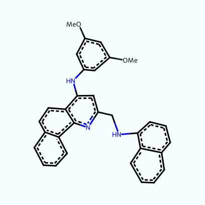 COc1cc(Nc2cc(CNc3cccc4ccccc34)nc3c2ccc2ccccc23)cc(OC)c1